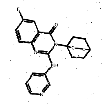 O=c1c2cc(F)ccc2nc(Nc2cccnc2)n1C12CCC(CC1)CC2